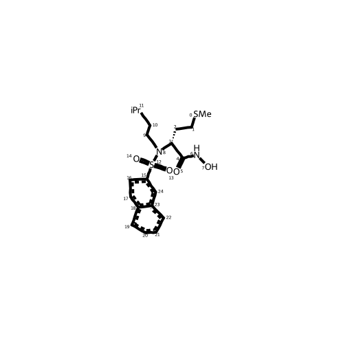 CSCC[C@H](C(=O)NO)N(CCC(C)C)S(=O)(=O)c1ccc2ccccc2c1